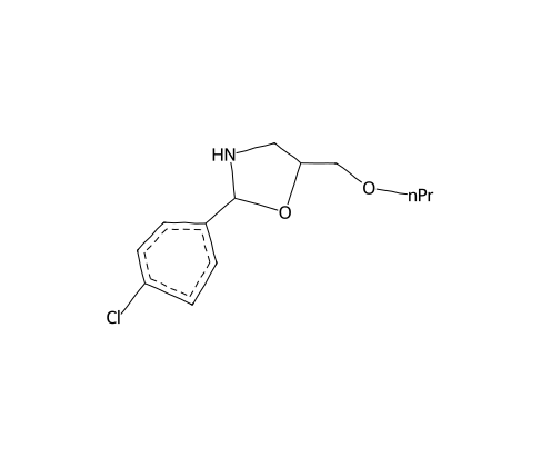 CCCOCC1CNC(c2ccc(Cl)cc2)O1